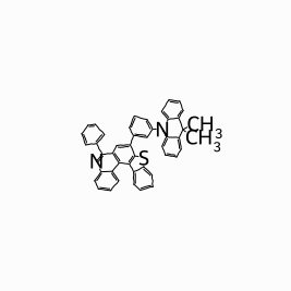 CC1(C)c2ccccc2N(c2cccc(-c3cc4c(-c5ccccc5)nc5ccccc5c4c4c3sc3ccccc34)c2)c2ccccc21